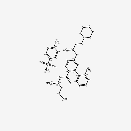 CCCCN(CCC1CCCCC1)Cc1ccc(C(=O)N[C@@H](CCSC)C(=O)O)c(-c2ccccc2C)c1.Cc1ccc(S(N)(=O)=O)cc1